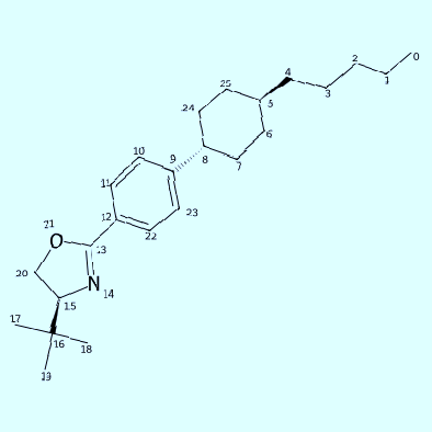 CCCCC[C@H]1CC[C@H](c2ccc(C3=N[C@@H](C(C)(C)C)CO3)cc2)CC1